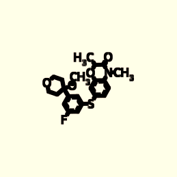 COC1(c2cc(F)cc(Sc3ccc4c(c3)OC(C)C(=O)N4C)c2)CCOCC1